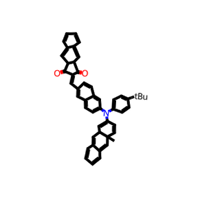 CC(C)(C)c1ccc(N(C2=CC3C=c4ccccc4=CC3(C)C=C2)c2ccc3cc(C=C4C(=O)C5C=c6ccccc6=CC5C4=O)ccc3c2)cc1